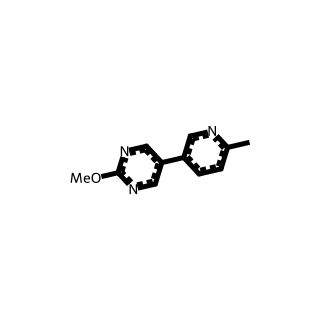 COc1ncc(-c2ccc(C)nc2)cn1